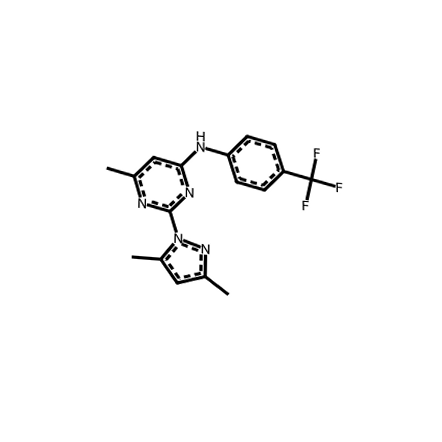 Cc1cc(Nc2ccc(C(F)(F)F)cc2)nc(-n2nc(C)cc2C)n1